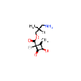 C=C1C(=O)C(=O)C1(CC)C(=O)OCC(C)(CC)CN